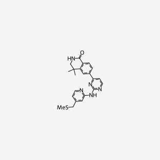 CSCc1ccnc(Nc2nccc(-c3ccc4c(c3)C(C)(C)CNC4=O)n2)c1